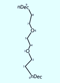 CCCCCCCCCCCCOCCOCCCCCCCCCCCC